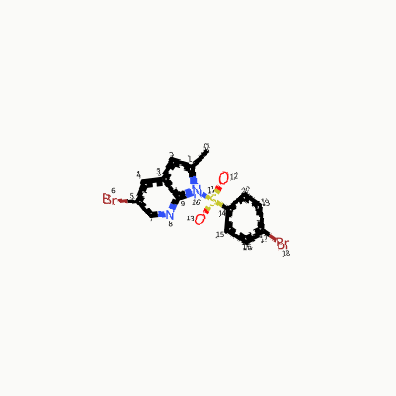 Cc1cc2cc(Br)cnc2n1S(=O)(=O)c1ccc(Br)cc1